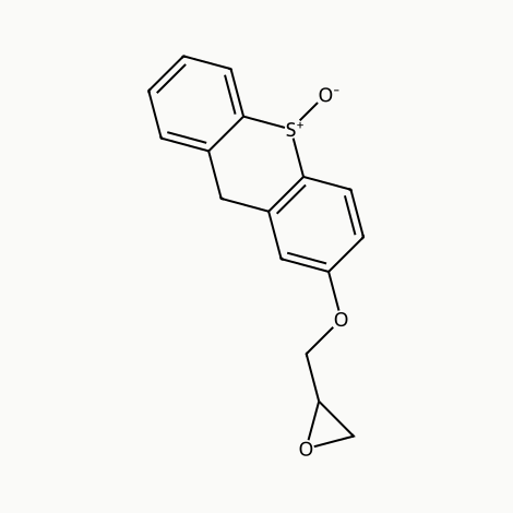 [O-][S+]1c2ccccc2Cc2cc(OCC3CO3)ccc21